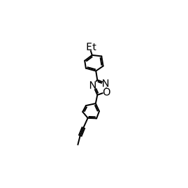 CC#Cc1ccc(-c2nc(-c3ccc(CC)cc3)no2)cc1